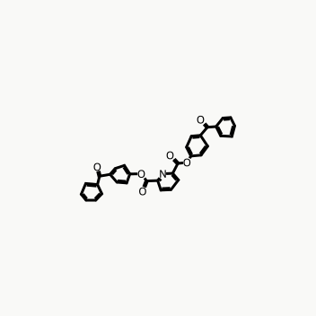 O=C(c1ccccc1)c1ccc(OC(=O)c2cccc(C(=O)Oc3ccc(C(=O)c4ccccc4)cc3)n2)cc1